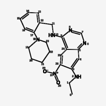 CCNc1cc2ncnc(NCc3ccccc3N3CCCCC3)c2cc1[N+](=O)[O-]